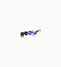 C#Cc1nc(NC(=O)N2CCN(c3ccc(-c4cccc(C#N)c4)cc3)CC2)cs1